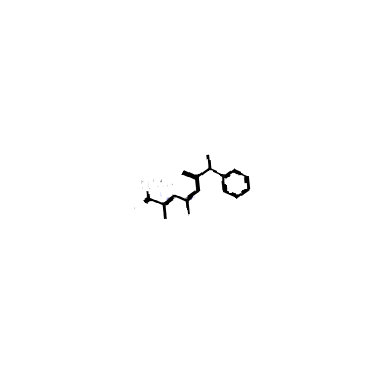 C=C(/C=C(C)\C=C(/C)C(=O)NC)C(C)c1ccccc1